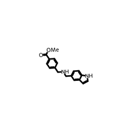 COC(=O)c1ccc(CNCc2ccc3[nH]ccc3c2)cc1